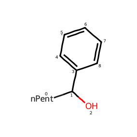 CCCCCC(O)c1c[c]ccc1